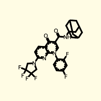 O=C(NC12CC3CC(CC(C3)C1)C2)c1cn(-c2ccc(F)cc2F)c2nc(N3CC(F)(F)C(F)(F)C3)ccc2c1=O